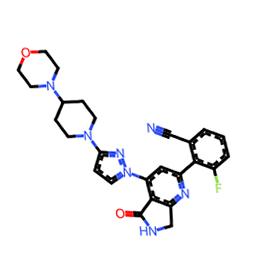 N#Cc1cccc(F)c1-c1cc(-n2ccc(N3CCC(N4CCOCC4)CC3)n2)c2c(n1)CNC2=O